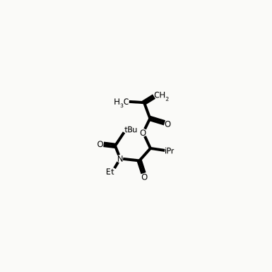 C=C(C)C(=O)OC(C(=O)N(CC)C(=O)C(C)(C)C)C(C)C